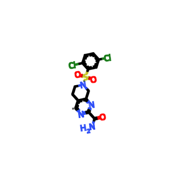 NC(=O)c1n[c]c2c(n1)CN(S(=O)(=O)c1cc(Cl)ccc1Cl)CC2